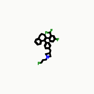 FCCCN1CC(Cc2ccc(C3=C(c4ccc(F)cc4C(F)F)CCCc4ccccc43)cc2)C1